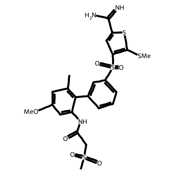 COc1cc(C)c(-c2cccc(S(=O)(=O)c3cc(C(=N)N)sc3SC)c2)c(NC(=O)CS(C)(=O)=O)c1